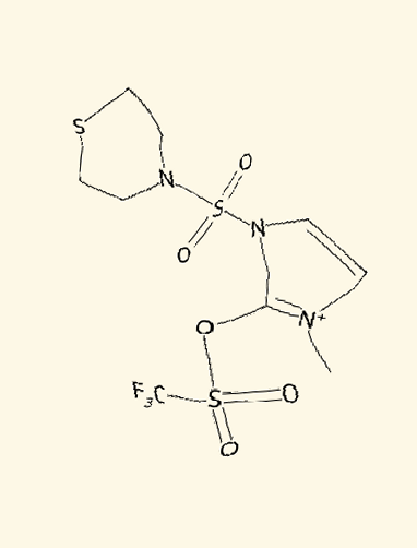 C[n+]1ccn(S(=O)(=O)N2CCSCC2)c1OS(=O)(=O)C(F)(F)F